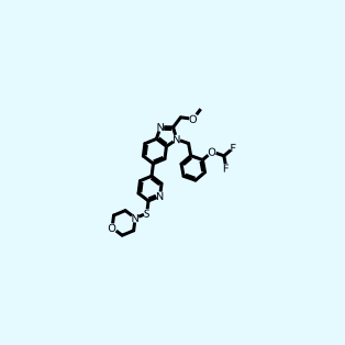 COCc1nc2ccc(-c3ccc(SN4CCOCC4)nc3)cc2n1Cc1ccccc1OC(F)F